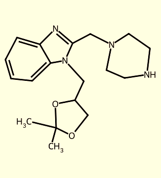 CC1(C)OCC(Cn2c(CN3CCNCC3)nc3ccccc32)O1